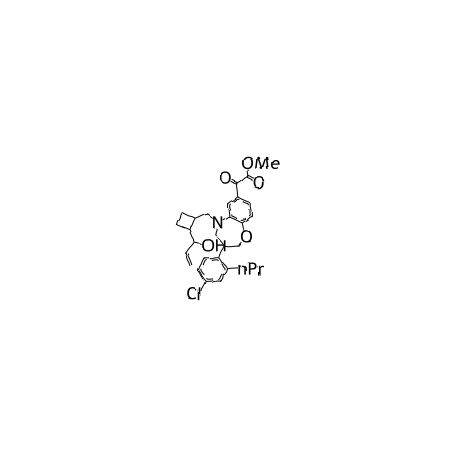 C=CC(O)C1CCC1CN1CC(c2ccc(Cl)cc2CCC)COc2ccc(C(=O)C(=O)OC)cc21